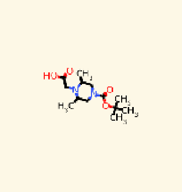 CC1CN(C(=O)OC(C)(C)C)CC(C)N1CC(=O)O